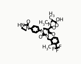 Cc1c(Cn2c(=O)c(C(=O)N(C)C(C)C(=O)O)cn(-c3ccc(N4CCNC4=O)cc3)c2=O)cccc1C(F)(F)F